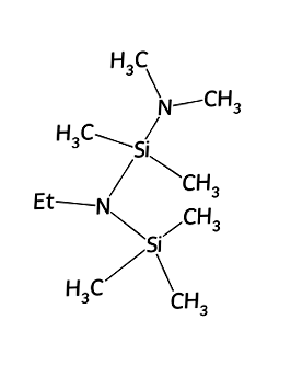 CCN([Si](C)(C)C)[Si](C)(C)N(C)C